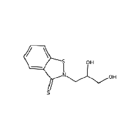 OCC(O)Cn1sc2ccccc2c1=S